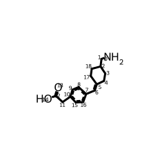 NCC1CCC(=Cc2ccc(CC(=O)O)cc2)CC1